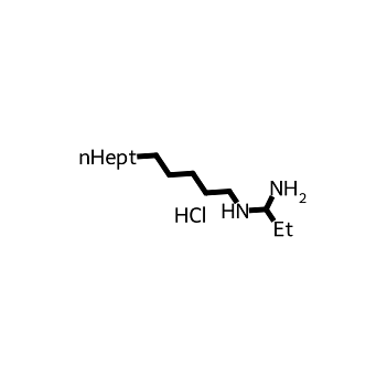 CCCCCCCCCCCCNC(N)CC.Cl